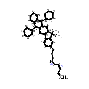 C=C/C=C\C=N/CCCc1ccc2c(c1)C(C)(C)c1cc3c(-c4ccccc4)c4ccccc4c(-c4ccccc4)c3cc1-2